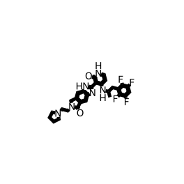 CC(Cc1c(F)c(F)cc(F)c1F)Nc1cc[nH]c(=O)c1-c1nc2cc3c(cc2[nH]1)CN(CCN1CCCC1)C3=O